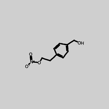 O=[N+]([O-])OCCc1ccc(CO)cc1